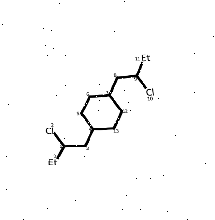 CCC(Cl)CC1[CH]CC(CC(Cl)CC)[CH]C1